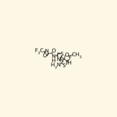 C[C@H]1C[C@H]2CSC(N)=NC2(c2nc(NC(=O)c3coc(C(F)(F)F)n3)cs2)CO1